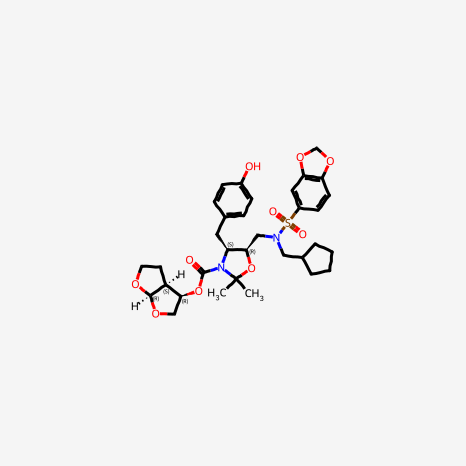 CC1(C)O[C@H](CN(CC2CCCC2)S(=O)(=O)c2ccc3c(c2)OCO3)[C@H](Cc2ccc(O)cc2)N1C(=O)O[C@H]1CO[C@H]2OCC[C@H]21